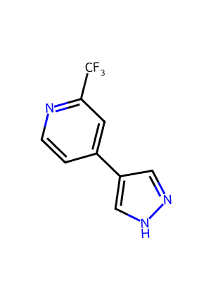 FC(F)(F)c1cc(-c2cn[nH]c2)ccn1